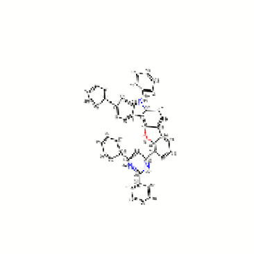 c1ccc(-c2ccc3c4c5oc6c(-c7cc(-c8ccccc8)nc(-c8ccccc8)n7)cccc6c5ccc4n(-c4ccccc4)c3c2)cc1